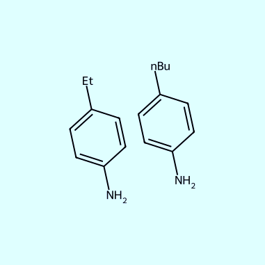 CCCCc1ccc(N)cc1.CCc1ccc(N)cc1